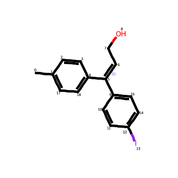 Cc1ccc(/C(=C\CO)c2ccc(I)cc2)cc1